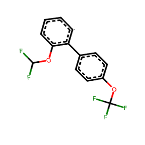 FC(F)Oc1ccc[c]c1-c1ccc(OC(F)(F)F)cc1